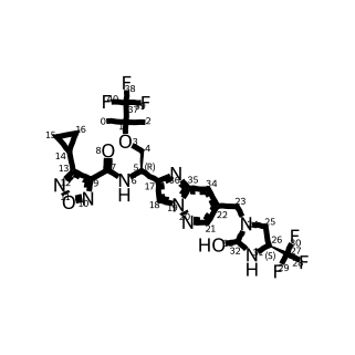 CC(C)(OC[C@H](NC(=O)c1nonc1C1CC1)c1cn2ncc(CN3C[C@@H](C(F)(F)F)NC3O)cc2n1)C(F)(F)F